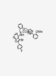 COc1ccccc1-c1ncc(COc2ccccc2C[C@@H](Nc2ncnc3oc(-c4ccc(F)cc4)c(Br)c23)C(=O)O)cn1